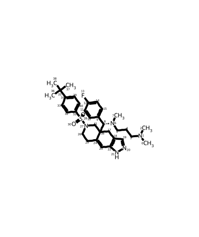 CN(C)CCCN(C)[C@@H](c1ccc(F)cc1)C12Cc3cn[nH]c3C=C1CCN(S(=O)(=O)c1ccc(C(C)(C)C)cc1)C2